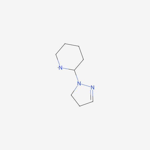 C1=NN(C2CCCC[N]2)CC1